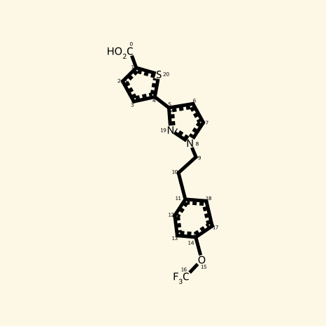 O=C(O)c1ccc(-c2ccn(CCc3ccc(OC(F)(F)F)cc3)n2)s1